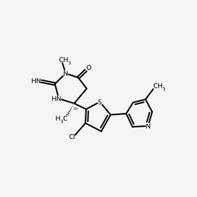 Cc1cncc(-c2cc(Cl)c([C@]3(C)CC(=O)N(C)C(=N)N3)s2)c1